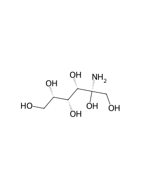 N[C@@](O)(CO)[C@@H](O)[C@H](O)[C@@H](O)CO